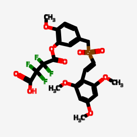 COc1cc(OC)c(C=CS(=O)(=O)Cc2ccc(OC)c(OC(=O)C(F)(F)C(F)(F)C(=O)O)c2)c(OC)c1